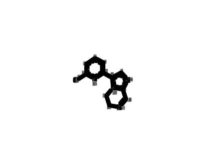 Clc1cccc(-c2cnc3n2CCN=C3)n1